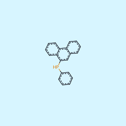 c1ccc(Pc2cc3ccccc3c3ccccc23)cc1